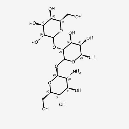 C[C@H]1OC(O[C@@H]2O[C@H](CO)[C@@H](O)[C@H](O)[C@H]2N)[C@H](OC2O[C@H](CO)[C@H](O)[C@H](O)[C@H]2O)[C@@H](O)[C@H]1O